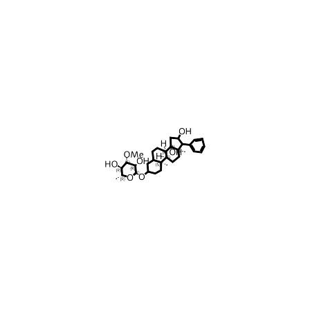 CO[C@@H]1[C@@H](O)[C@H](OC2CC[C@@]3(C)C(CC[C@@H]4[C@H]3CC[C@]3(C)C(c5ccccc5)C(O)C[C@@]43O)C2)O[C@H](C)[C@H]1O